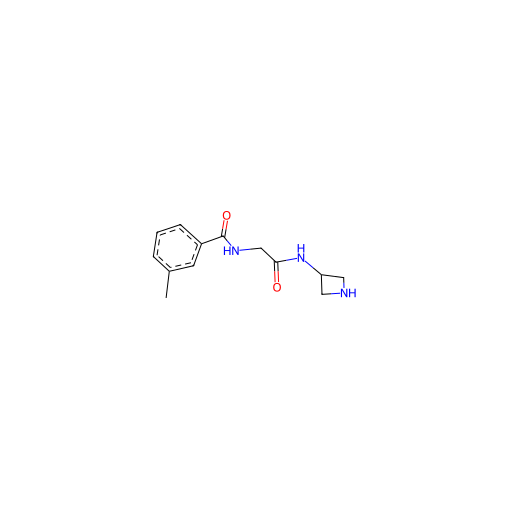 Cc1cccc(C(=O)NCC(=O)NC2CNC2)c1